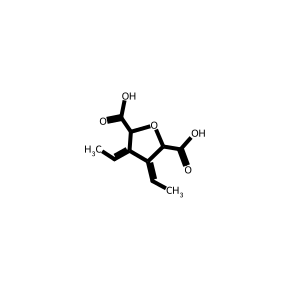 CC=C1C(=CC)C(C(=O)O)OC1C(=O)O